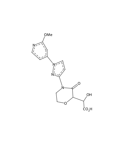 COc1cc(-n2ccc(N3CCOC(C(O)C(=O)O)C3=O)n2)ccn1